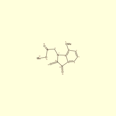 COc1cccc2c1N(CC(=O)OC(C)(C)C)C(=O)C2=O